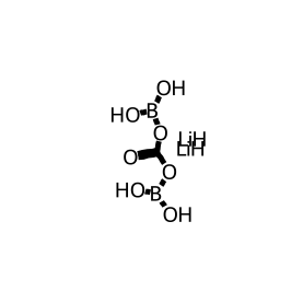 O=C(OB(O)O)OB(O)O.[LiH].[LiH]